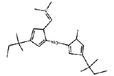 CCC(C)(C)C1=CC(C)[C]([Mg][C]2=CC(C(C)(C)CC)=CC2C=[Si](C)C)=C1